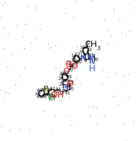 Cc1ccc(N(CC2=NCCN2)c2cccc(OC(=O)COc3ccc(CN4C(=O)CC[C@@H]4CCC(O)Cc4sc5ccccc5c4Cl)cc3)c2)cc1